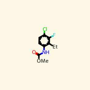 CCc1c(NC(=O)OC)ccc(Cl)c1F